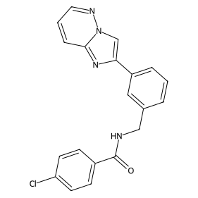 O=C(NCc1cccc(-c2cn3ncccc3n2)c1)c1ccc(Cl)cc1